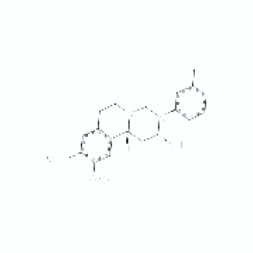 COc1cc2c(cc1OC)[C@H]1C[C@H](N)[C@H](c3cccc(C)c3)CN1CC2